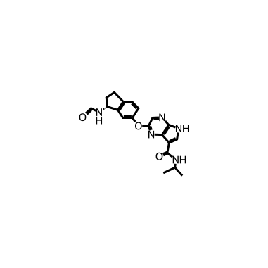 CC(C)NC(=O)c1c[nH]c2ncc(Oc3ccc4c(c3)[C@H](NC=O)CC4)nc12